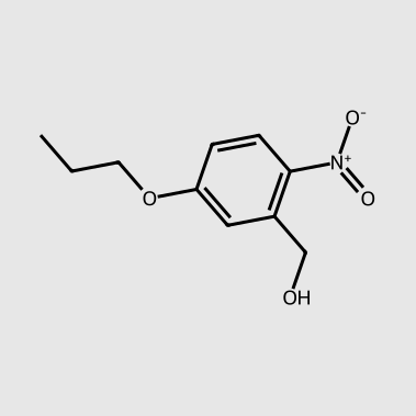 CCCOc1ccc([N+](=O)[O-])c(CO)c1